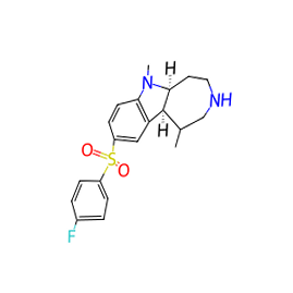 CC1CNCC[C@H]2[C@@H]1c1cc(S(=O)(=O)c3ccc(F)cc3)ccc1N2C